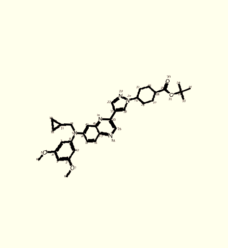 COc1cc(OC)cc(N(CC2CC2)c2ccc3ncc(-c4cnn(C5CCC(C(=O)OC(C)(C)C)CC5)c4)nc3c2)c1